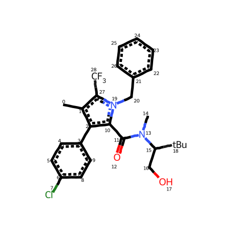 Cc1c(-c2ccc(Cl)cc2)c(C(=O)N(C)C(CO)C(C)(C)C)n(Cc2ccccc2)c1C(F)(F)F